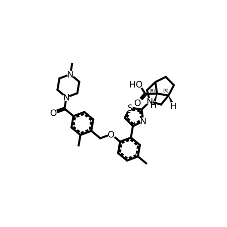 Cc1ccc(OCc2ccc(C(=O)N3CCN(C)CC3)cc2C)c(-c2csc(N3CC4CC[C@H](C3)[C@@H]4C(=O)O)n2)c1